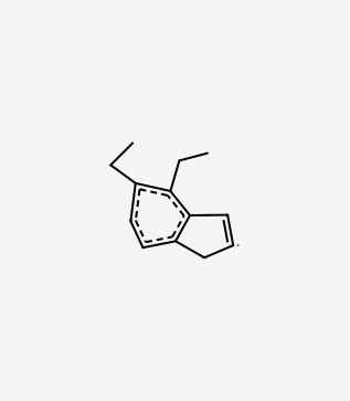 CCc1ccc2c(c1CC)C=[C]C2